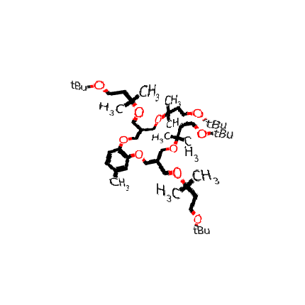 Cc1ccc(OCC(COC(C)(C)CCOC(C)(C)C)COC(C)(C)CCOC(C)(C)C)c(OCC(COC(C)(C)CCOC(C)(C)C)COC(C)(C)CCOC(C)(C)C)c1